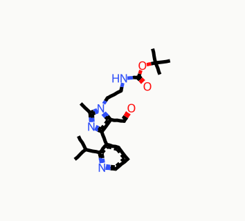 Cc1nc(-c2cccnc2C(C)C)c(C=O)n1CCNC(=O)OC(C)(C)C